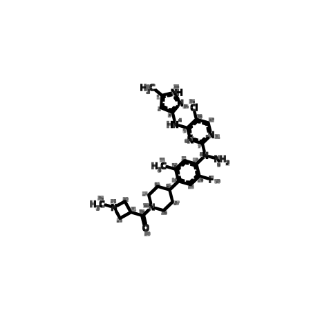 Cc1cc(Nc2nc(N(N)c3cc(C)c(C4CCN(C(=O)C5CN(C)C5)CC4)cc3F)ncc2Cl)n[nH]1